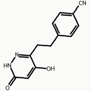 N#Cc1ccc(CCc2n[nH]c(=O)cc2O)cc1